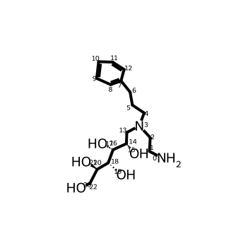 NCCN(CCCc1ccccc1)C[C@H](O)[C@@H](O)[C@H](O)[C@H](O)CO